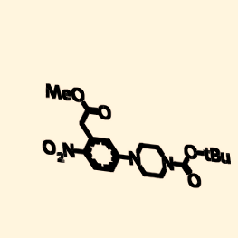 COC(=O)Cc1cc(N2CCN(C(=O)OC(C)(C)C)CC2)ccc1[N+](=O)[O-]